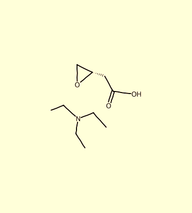 CCN(CC)CC.O=C(O)C[C@H]1CO1